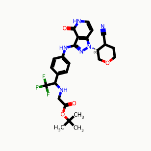 CC(C)(C)OC(=O)CNC(c1ccc(Nc2nn([C@H]3COCCC3C#N)c3cc[nH]c(=O)c23)cc1)C(F)(F)F